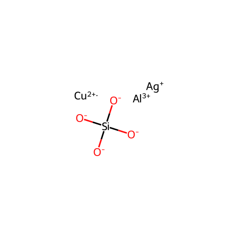 [Ag+].[Al+3].[Cu+2].[O-][Si]([O-])([O-])[O-]